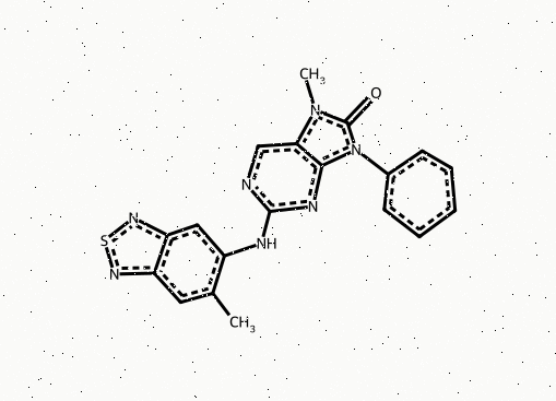 Cc1cc2nsnc2cc1Nc1ncc2c(n1)n(-c1ccccc1)c(=O)n2C